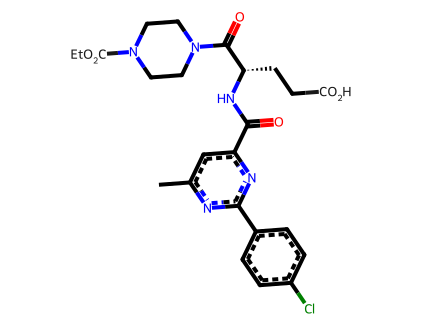 CCOC(=O)N1CCN(C(=O)[C@H](CCC(=O)O)NC(=O)c2cc(C)nc(-c3ccc(Cl)cc3)n2)CC1